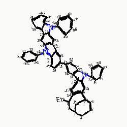 CCC1CC2CCCC(C2)c2cc3c(cc21)c1cc(-c2ccc4c(c2)c2cc5c(cc2n4-c2ccccc2)c2ccccc2n5-c2ccccc2)ccc1n3-c1ccccc1